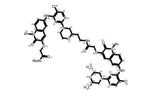 CNC(=O)COc1cc2cc(Nc3nc(N4CCOC(CCNC(=O)COc5cc6cc(Nc7nc(N8C[C@@H](C)O[C@H](C)C8)ncc7Cl)ccc6n(C(C)C)c5=O)C4)ncc3Cl)ccc2n(C(C)C)c1=O